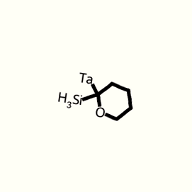 [SiH3][C]1([Ta])CCCCO1